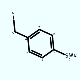 CSc1ccc(CI)cc1